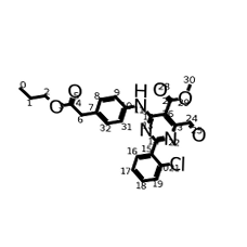 CCCOC(=O)Cc1ccc(Nc2nc(-c3ccccc3Cl)nc(C=O)c2C(=O)OC)cc1